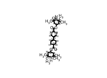 CC1(C)CC(OC(=O)c2ncc(C3=CCC(C(=O)OC4CC(C)(C)NC(C)(C)C4)CC3)cn2)CC(C)(C)N1